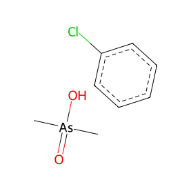 C[As](C)(=O)O.Clc1ccccc1